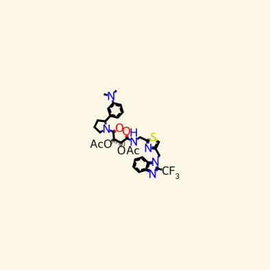 CC(=O)O[C@@H](C(=O)NCc1nc(Cn2c(C(F)(F)F)nc3ccccc32)cs1)[C@@H](OC(C)=O)C(=O)N1CCCC1c1cccc(N(C)C)c1